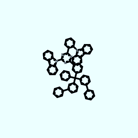 c1ccc(-c2cccc(C(c3ccccc3)(c3cccc(-c4ccccc4)c3)c3cccc(-c4nc(-c5ccccc5-n5c6ccccc6c6ccccc65)nc(-n5c6ccccc6c6ccccc65)n4)c3)c2)cc1